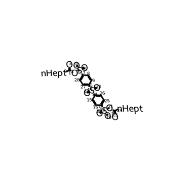 CCCCCCCC(=O)OS(=O)(=O)c1ccc(S(=O)(=O)c2ccc(S(=O)(=O)OC(=O)CCCCCCC)cc2)cc1